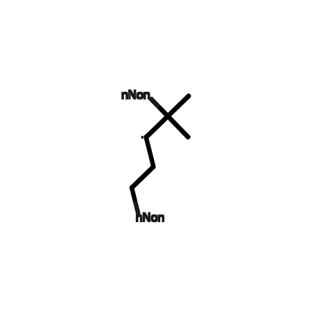 CCCCCCCCCCC[CH]C(C)(C)CCCCCCCCC